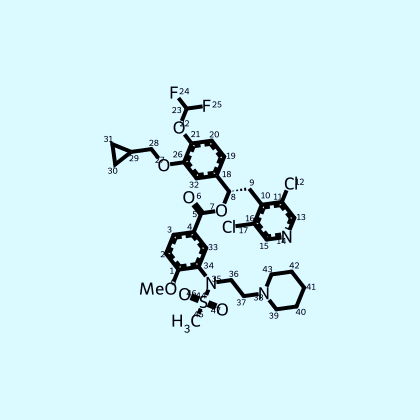 COc1ccc(C(=O)O[C@@H](Cc2c(Cl)cncc2Cl)c2ccc(OC(F)F)c(OCC3CC3)c2)cc1N(CCN1CCCCC1)S(C)(=O)=O